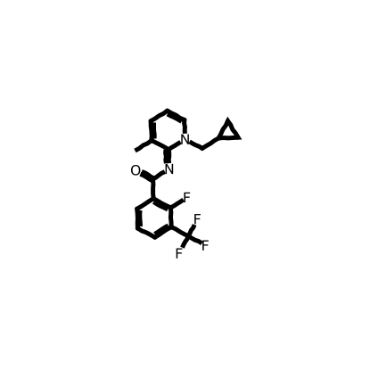 Cc1cccn(CC2CC2)/c1=N/C(=O)c1cccc(C(F)(F)F)c1F